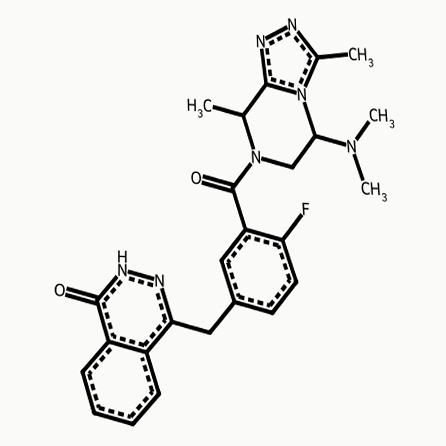 Cc1nnc2n1C(N(C)C)CN(C(=O)c1cc(Cc3n[nH]c(=O)c4ccccc34)ccc1F)C2C